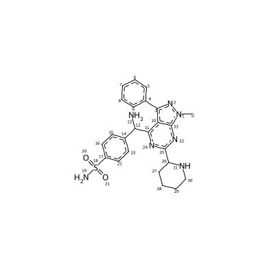 Cn1nc(-c2ccccc2)c2c(C(N)c3ccc(S(N)(=O)=O)cc3)nc(C3CCCCN3)nc21